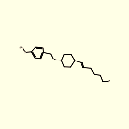 CCCOc1ccc(CC[C@H]2CC[C@H](/C=C/CCCCF)CC2)cc1